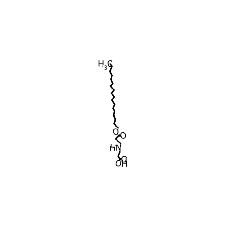 CCCCCCCCCCCCCCCCCCOC(=O)CCNCCC(=O)O